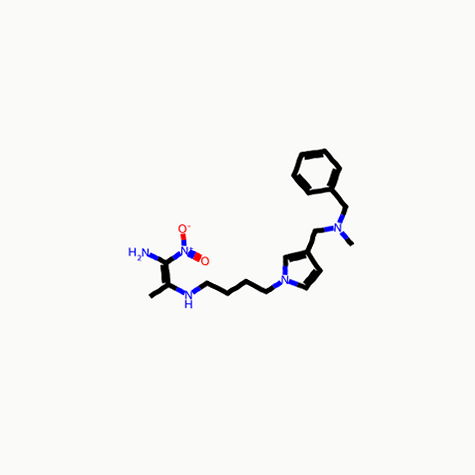 CC(NCCCCn1ccc(CN(C)Cc2ccccc2)c1)=C(N)[N+](=O)[O-]